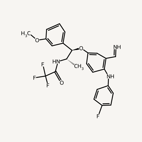 COc1cccc([C@@H](Oc2ccc(Nc3ccc(F)cc3)c(C=N)c2)[C@H](C)NC(=O)C(F)(F)F)c1